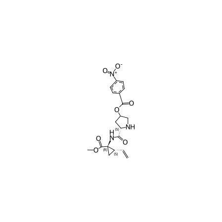 C=C[C@@H]1C[C@]1(NC(=O)[C@@H]1CC(OC(=O)c2ccc([N+](=O)[O-])cc2)CN1)C(=O)OC